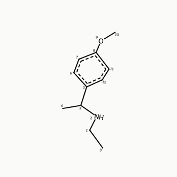 CCNC(C)c1ccc(OC)cc1